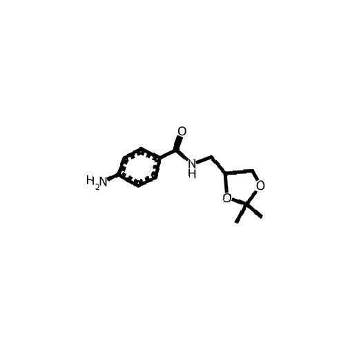 CC1(C)OCC(CNC(=O)c2ccc(N)cc2)O1